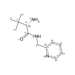 CC(C)(C)[C@H](N)C(=O)NCc1ccccn1